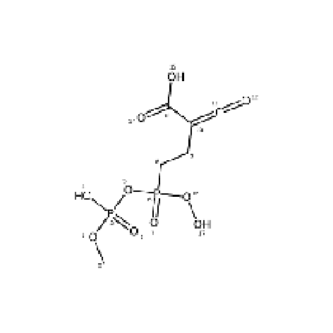 COP(=O)(O)OP(=O)(CCC(=C=O)C(=O)O)OO